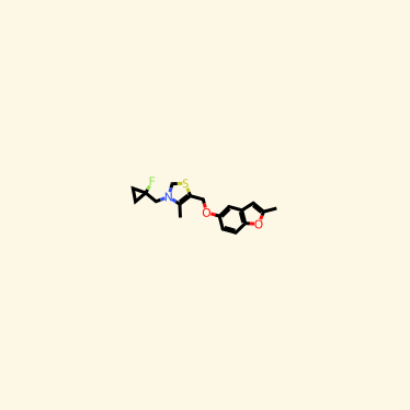 CC1=C(COc2ccc3oc(C)cc3c2)SCN1CC1(F)CC1